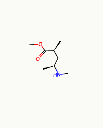 CN[C@@H](C)C[C@H](C)C(=O)OC